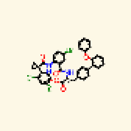 O=C(N[C@@H](Cc1ccc(-c2ccccc2Oc2ccccc2)cc1)C(=O)O)c1cc(Br)ccc1NC(=O)C1(c2ccc(Cl)cc2Cl)CC1